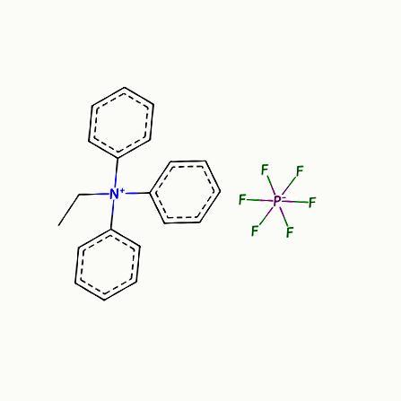 CC[N+](c1ccccc1)(c1ccccc1)c1ccccc1.F[P-](F)(F)(F)(F)F